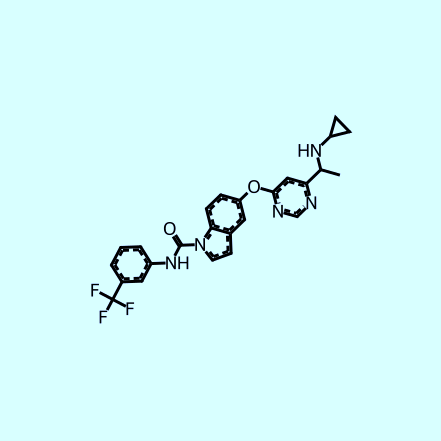 CC(NC1CC1)c1cc(Oc2ccc3c(ccn3C(=O)Nc3cccc(C(F)(F)F)c3)c2)ncn1